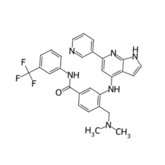 CN(C)Cc1ccc(C(=O)Nc2cccc(C(F)(F)F)c2)cc1Nc1cc(-c2cccnc2)nc2[nH]ccc12